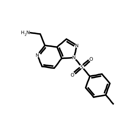 Cc1ccc(S(=O)(=O)n2ncc3c(CN)nccc32)cc1